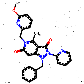 Cc1c2c(=O)n(-c3ccccn3)n(Cc3ccccc3)c2cc(=O)n1Cc1cccc(OC(C)C)n1